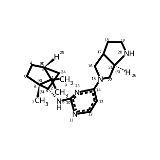 CC1(C)[C@@H]2CC[C@@]1(C)[C@@H](Nc1nccc(N3CC4CCN[C@H]4C3)n1)C2